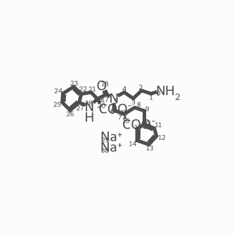 NCCCCN(C[C@@H](CCc1ccccc1)C(=O)[O-])C(=O)C1(C(=O)[O-])Cc2ccccc2N1.[Na+].[Na+]